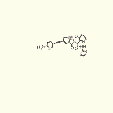 COc1cccnc1C(C(=O)Nc1nccs1)N1Cc2ccc(C#Cc3ccc(N)nc3)cc2C1=O